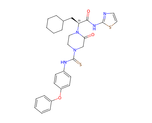 O=C(Nc1nccs1)[C@H](CC1CCCCC1)N1CCN(C(=S)Nc2ccc(Oc3ccccc3)cc2)CC1=O